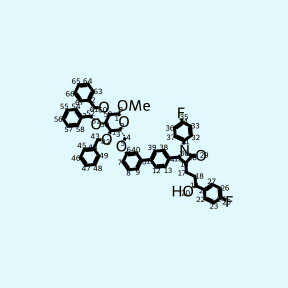 CO[C@H]1O[C@H](COc2cccc(-c3ccc(C4C(CC[C@H](O)c5ccc(F)cc5)C(=O)N4c4ccc(F)cc4)cc3)c2)[C@@H](OCc2ccccc2)[C@H](OCc2ccccc2)[C@H]1OCc1ccccc1